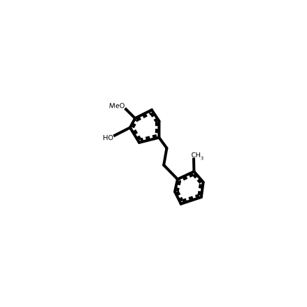 COc1ccc(CCc2ccccc2C)cc1O